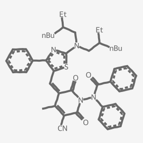 CCCCC(CC)CN(CC(CC)CCCC)c1nc(-c2ccccc2)c(/C=C2\C(=O)N(N(C(=O)c3ccccc3)c3ccccc3)C(=O)C(C#N)=C2C)s1